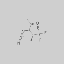 CC(=O)[C@H](N=[N+]=[N-])[C@H](C)C(F)(F)F